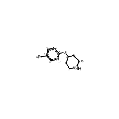 Fc1cnc(OC2CCNCC2)nc1